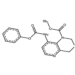 CC(C)(C)OC(=O)N1CCCc2nccc(NC(=O)Oc3ccccc3)c21